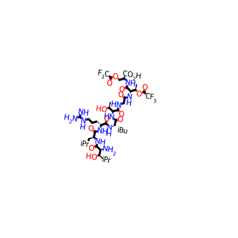 CC[C@H](C)[C@H](NC(=O)[C@@H](CCCNC(=N)N)NC(=O)[C@H](CC(C)C)NC(=O)[C@@H](N)[C@H](O)C(C)C)C(=O)N[C@H](C(=O)NCC(=O)N[C@H](C(=O)N[C@@H](COC(=O)C(F)(F)F)C(=O)O)[C@@H](C)OC(=O)C(F)(F)F)[C@H](C)O